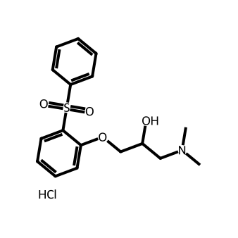 CN(C)CC(O)COc1ccccc1S(=O)(=O)c1ccccc1.Cl